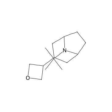 CC(C)(C)N1C2CCC1CC(C1COC1)C2